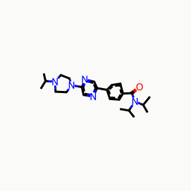 CC(C)N1CCN(c2cnc(-c3ccc(C(=O)N(C(C)C)C(C)C)cc3)cn2)CC1